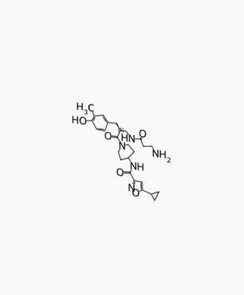 Cc1cc(C[C@@H](CNC(=O)CCN)C(=O)N2CCC(NC(=O)c3cc(C4CC4)on3)CC2)ccc1O